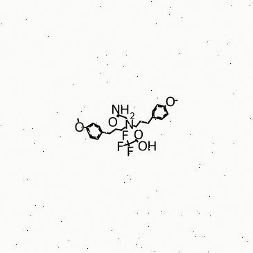 COc1ccc(CCCN(CCCc2ccc(OC)cc2)CC(N)=O)cc1.O=C(O)C(F)(F)F